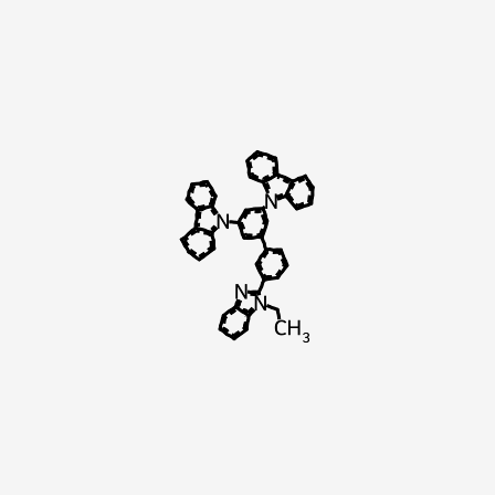 CCn1c(-c2cccc(-c3cc(-n4c5ccccc5c5ccccc54)cc(-n4c5ccccc5c5ccccc54)c3)c2)nc2ccccc21